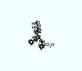 CCNC(=O)Nc1ncnc2c1ncn2C1OC(CNCc2ncccc2C(=O)O)C2O[C@H](c3ccccc3)OC21